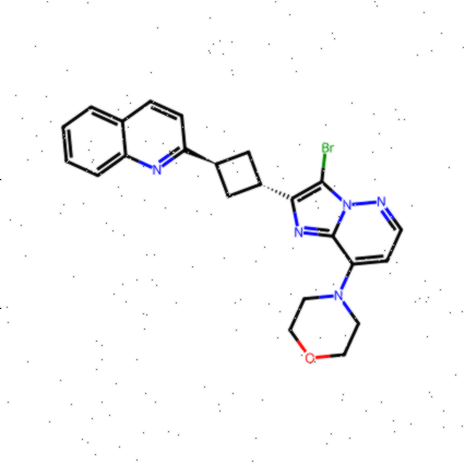 Brc1c([C@H]2C[C@H](c3ccc4ccccc4n3)C2)nc2c(N3CCOCC3)ccnn12